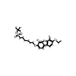 CCOc1ccc2c(sc3c(F)c(OCCCCCCS(=O)(=O)OC(C)(C)C)ccc32)c1F